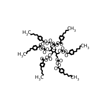 CCCCCc1ccc(C(=O)OOC(=O)OCCC(COC(=O)OOC(=O)c2ccc(CCCCC)cc2)C(COC(=O)OOC(=O)c2ccc(CCCCC)cc2)C(COC(=O)OOC(=O)c2ccc(CCCCC)cc2)C(CCOC(=O)OOC(=O)c2ccc(CCCCC)cc2)COC(=O)OOC(=O)c2ccc(CCCCC)cc2)cc1